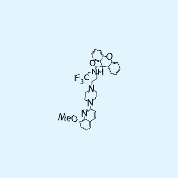 COc1cccc2ccc(N3CCN(CCCCC4(C(=O)NCC(F)(F)F)c5ccccc5Oc5ccccc54)CC3)nc12